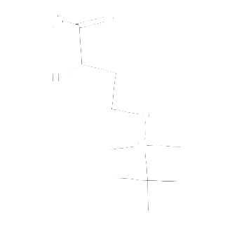 CC(C)(C)[Si](C)(C)OCCC(O)C(N)=O